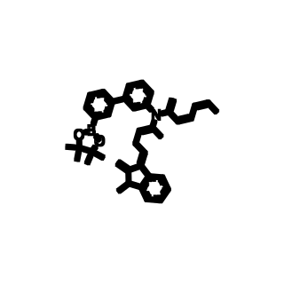 C=C1/C(=C\C/C=C(\C)N(C(=C)/C=C\C=C/C)c2cccc(-c3cccc(B4OC(C)(C)C(C)(C)O4)c3)c2)c2ccccc2C1C